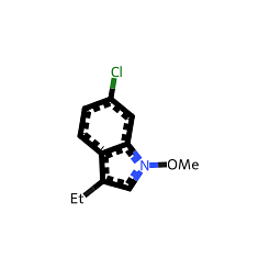 CCc1cn(OC)c2cc(Cl)ccc12